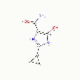 NC(=O)c1nc(C2CC2)[nH]c1O